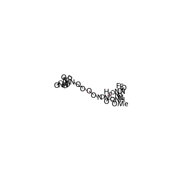 COc1cc(C(=O)NC2CCN(CCOCCOCCOCCOCCNc3cccc4c3C(=O)N(C3CCC(=O)NC3=O)C4=O)CC2)c(F)cc1Nc1ncc2c(n1)N(C1CCCC1)CC(F)(F)C(=O)N2C